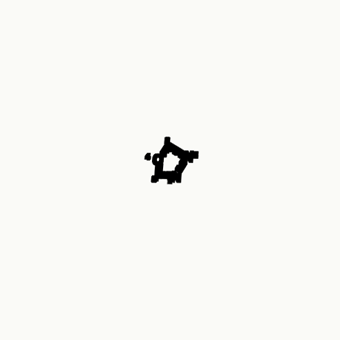 [c]1nnco1